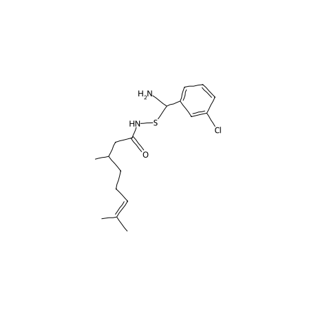 CC(C)=CCCC(C)CC(=O)NSC(N)c1cccc(Cl)c1